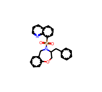 O=S(=O)(c1cccc2cccnc12)N1Cc2ccccc2OCC1Cc1ccccc1